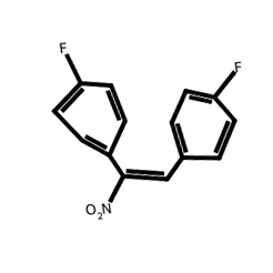 O=[N+]([O-])C(=Cc1ccc(F)cc1)c1ccc(F)cc1